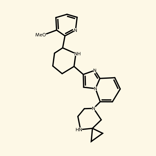 COc1cccnc1C1CCCC(c2cn3c(N4CCNC5(CC5)C4)cccc3n2)N1